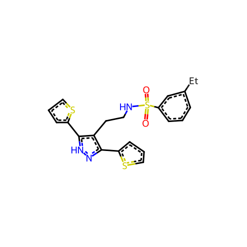 CCc1cccc(S(=O)(=O)NCCc2c(-c3cccs3)n[nH]c2-c2cccs2)c1